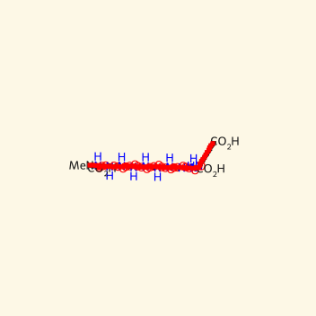 CN[C@@H](CCCCNC(=O)COCCOCCNCCOCCOCCNC(=O)COCCOCCNC(=O)COCCOCCNC(=O)COCCOCCNC(=O)COCCOCCNC(=O)COCCOCCNC(=O)COCCOCCNC(=O)CC[C@H](NC(=O)CCCCCCCCCCCCCCCCCCCCC(=O)O)C(=O)O)C(=O)O